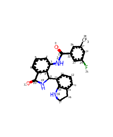 O=C(Nc1cccc2c1C(c1cccc3c1NCC3)NC2=O)c1cc(F)cc(C(F)(F)F)c1